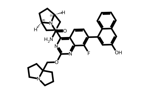 NC(=O)N1[C@@H]2CC[C@H]1CN(c1nc(OCC34CCCN3CCC4)nc3c(F)c(-c4cc(O)cc5ccccc45)ccc13)C2